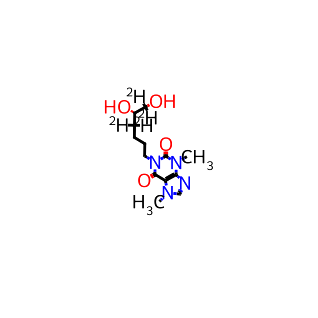 [2H]C([2H])(O)[C@H](O)C([2H])([2H])CCCn1c(=O)c2c(ncn2C)n(C)c1=O